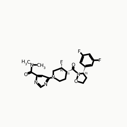 CN(C)C(=O)c1cc(N2CC[C@@H](C(=O)N3OCC[C@H]3c3cc(F)cc(F)c3)[C@@H](F)C2)ncn1